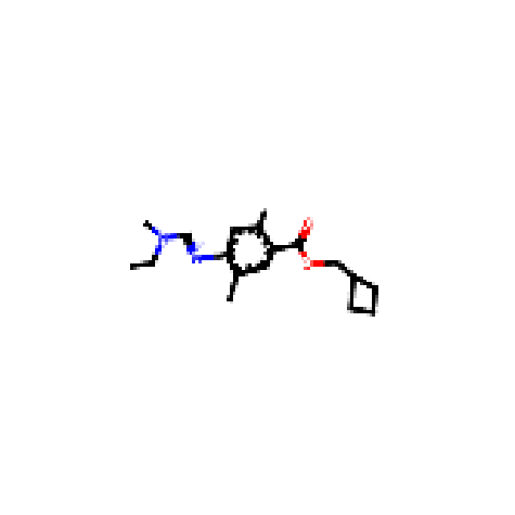 CCN(C)/C=N/c1cc(C)c(C(=O)OCC2CCC2)cc1C